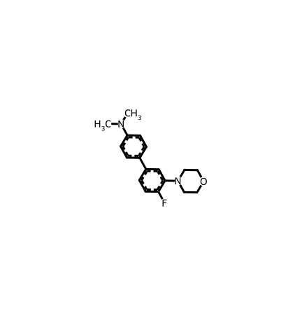 CN(C)c1ccc(-c2ccc(F)c(N3CCOCC3)c2)cc1